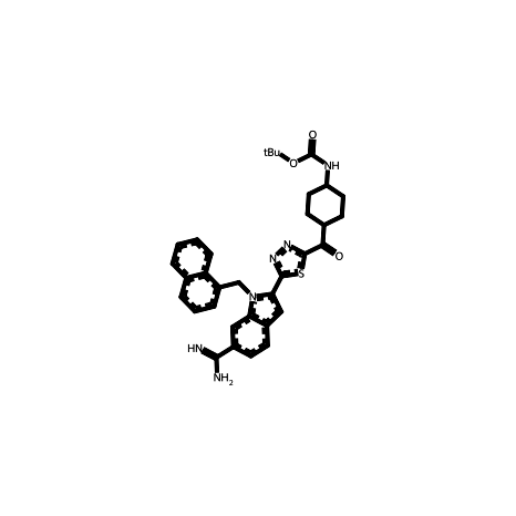 CC(C)(C)OC(=O)NC1CCC(C(=O)c2nnc(-c3cc4ccc(C(=N)N)cc4n3Cc3cccc4ccccc34)s2)CC1